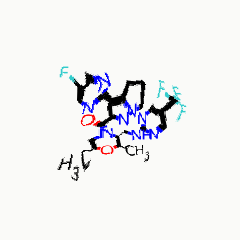 C[C@@H]1CN(C(=O)c2nn3c(c2-c2ncc(F)cn2)CCC3)[C@H](CNc2ncc(C(F)(F)F)cn2)[C@H](C)O1